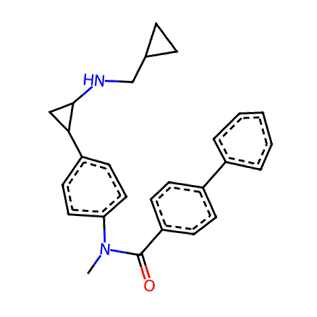 CN(C(=O)c1ccc(-c2ccccc2)cc1)c1ccc(C2CC2NCC2CC2)cc1